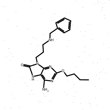 CCCCOc1nc(N)c2[nH]c(=O)n(CCCNCc3c[c]ccc3)c2n1